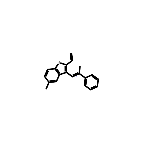 C=Cc1sc2ccc(C)cc2c1/C=C(\C)c1ccccc1